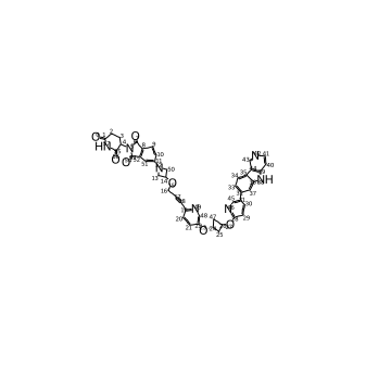 O=C1CCC(N2C(=O)c3ccc(N4CC(OCC#Cc5ccc(O[C@H]6C[C@H](Oc7ccc(-c8ccc9c(c8)[nH]c8ccncc89)cn7)C6)cn5)C4)cc3C2=O)C(=O)N1